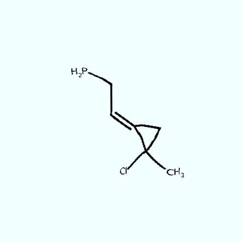 CC1(Cl)C/C1=C\CP